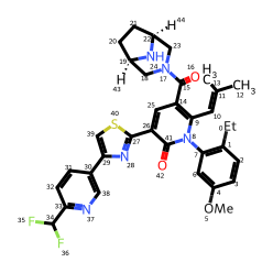 CCc1ccc(OC)cc1-n1c(C=C(C)C)c(C(=O)N2C[C@H]3CC[C@@H](C2)N3)cc(-c2nc(-c3ccc(C(F)F)nc3)cs2)c1=O